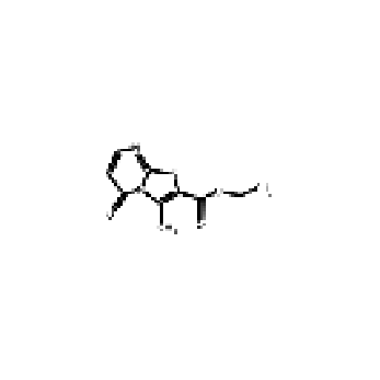 CCOC(=O)c1sc2nccc(=O)n2c1C